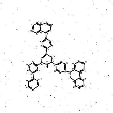 C1=C(c2ccc(-c3cncc4ccccc34)cc2)N=C(c2ccc(-c3cc4ccccc4c4ccccc34)cc2)NC1c1cccc(-c2ccccc2)c1